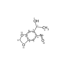 CC(O)c1cc2c(cc1N=O)OCO2